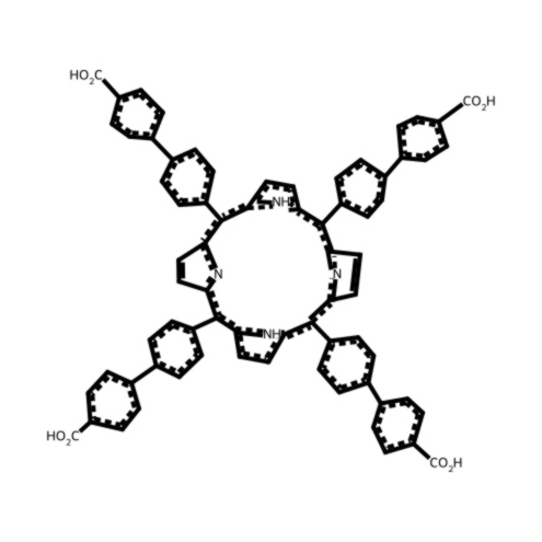 O=C(O)c1ccc(-c2ccc(-c3c4nc(c(-c5ccc(-c6ccc(C(=O)O)cc6)cc5)c5ccc([nH]5)c(-c5ccc(-c6ccc(C(=O)O)cc6)cc5)c5nc(c(-c6ccc(-c7ccc(C(=O)O)cc7)cc6)c6ccc3[nH]6)C=C5)C=C4)cc2)cc1